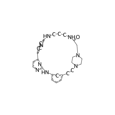 O=C1CN2CCN(CCc3cccc(c3)Nc3nccc(n3)-c3ccc(nc3)NCCCN1)CC2